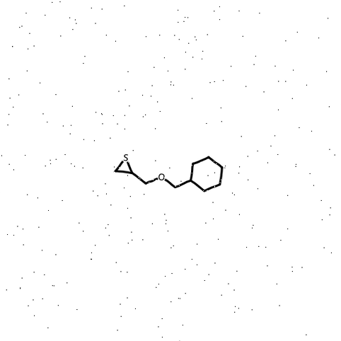 [CH]1CCC(COCC2CS2)CC1